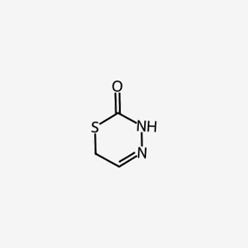 O=C1NN=CCS1